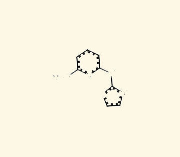 COc1cccc(Sc2nccs2)n1